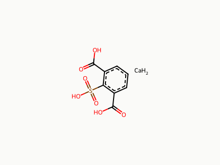 O=C(O)c1cccc(C(=O)O)c1S(=O)(=O)O.[CaH2]